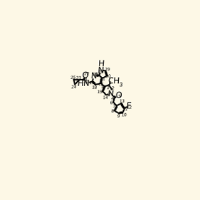 CC1CN(C(=O)Cc2cccc(F)c2)CC=C1c1cc(NC(=O)C2CC2)nc2[nH]ccc12